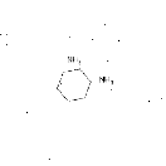 C1CCCCC1.N.N